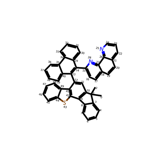 CC1(C)c2ccccc2-c2c1cc(-c1c(-c3ccc4ccc5cccnc5c4n3)c3ccccc3c3ccccc13)c1c2sc2ccccc21